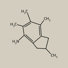 Cc1c(C)c(N)c2c(c1C)CC(C)C2